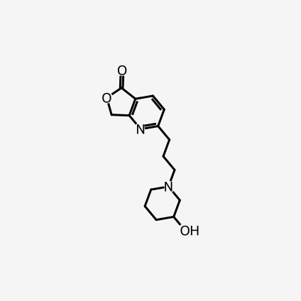 O=C1OCc2nc(CCCN3CCCC(O)C3)ccc21